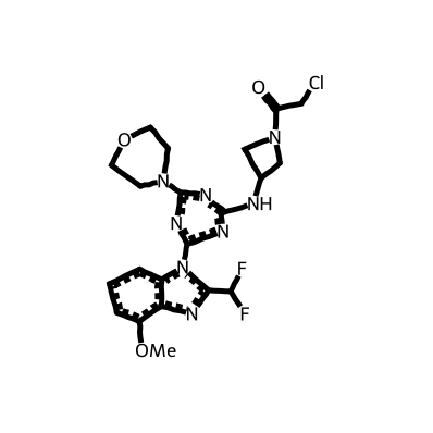 COc1cccc2c1nc(C(F)F)n2-c1nc(NC2CN(C(=O)CCl)C2)nc(N2CCOCC2)n1